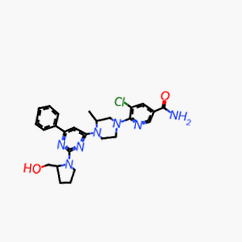 CC1CN(c2ncc(C(N)=O)cc2Cl)CCN1c1cc(-c2ccccc2)nc(N2CCCC2CO)n1